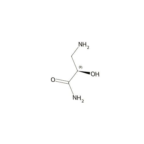 NC[C@@H](O)C(N)=O